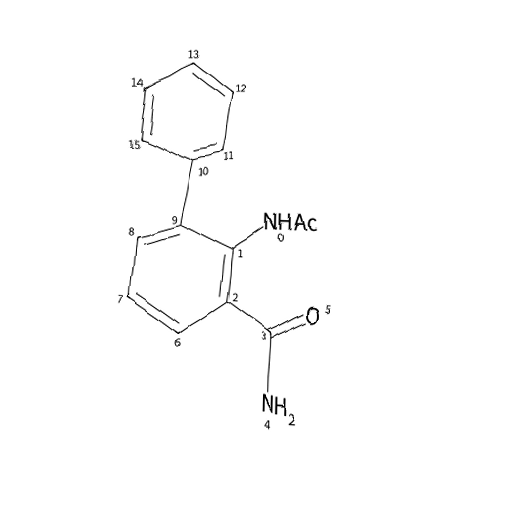 CC(=O)Nc1c(C(N)=O)cccc1-c1ccccc1